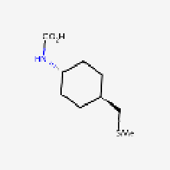 CSC[C@H]1CC[C@H](NC(=O)O)CC1